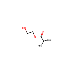 CCCCC(CCCC)C(=O)OCCO